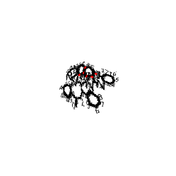 C=C1CC2c3ccccc3N3c4nc5ccccc5nc4N(c4ccccc4)C3C2C2N(c3ccccc3)c3nccnc3N2c2ccccc21